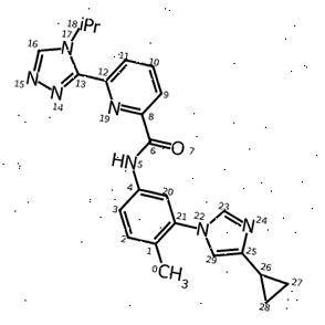 Cc1ccc(NC(=O)c2cccc(-c3nncn3C(C)C)n2)cc1-n1cnc(C2CC2)c1